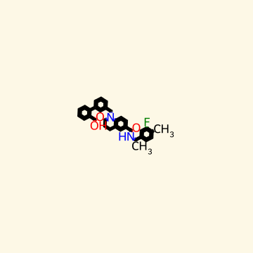 Cc1ccc(C(C)NC(=O)c2ccc3c(c2)CCCN3Cc2cccc(-c3ccccc3C(=O)O)c2)cc1F